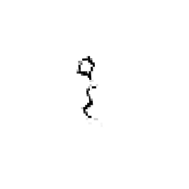 CC=CCOc1[c]csc1